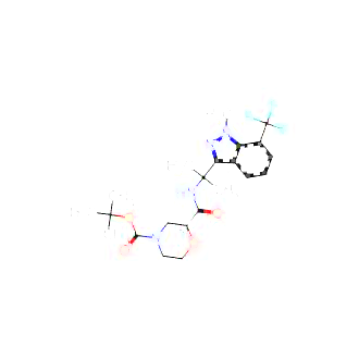 Cn1nc(C(C)(C)NC(=O)[C@@H]2CN(C(=O)OC(C)(C)C)CCO2)c2cccc(C(F)(F)F)c21